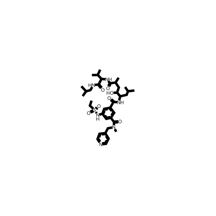 CCS(=O)(=O)Nc1cc(C(=O)NC(CC(C)C)C(O)CC(C)C(=O)NC(C(=O)NCC(C)C)C(C)C)cc(C(=O)N(C)Cc2ccncc2)c1